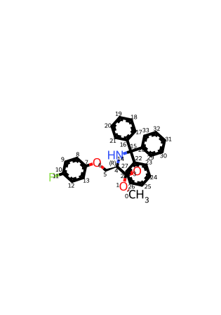 COC(=O)[C@@H](COc1ccc(F)cc1)NC(c1ccccc1)(c1ccccc1)c1ccccc1